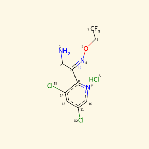 Cl.NC/C(=N\OCC(F)(F)F)c1ncc(Cl)cc1Cl